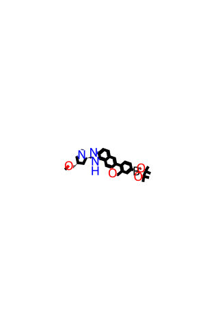 COC[C@H]1C[C@@H](c2nc3ccc4cc5c(cc4c3[nH]2)OCc2cc(B3OC(C)(C)C(C)(C)O3)ccc2-5)N(C)C1